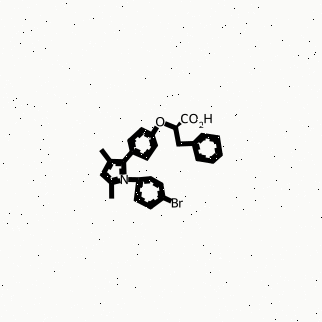 Cc1cc(C)n(-c2ccc(Br)cc2)c1-c1ccc(O[C@H](Cc2ccccc2)C(=O)O)cc1